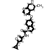 C[C@@H]1Cc2c(ncnc2Oc2ccc3c(ccn3C(=O)Nc3cc(C4CC4)on3)c2)CN1